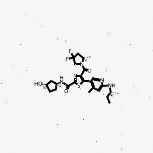 CC[C@@H](C)Nc1cc(C)c(-c2sc(C(=O)N[C@H]3CC[C@H](O)C3)nc2C(=O)N2CC(F)(F)C[C@@H]2C)cn1